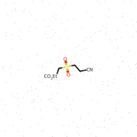 CCOC(=O)CS(=O)(=O)CCC#N